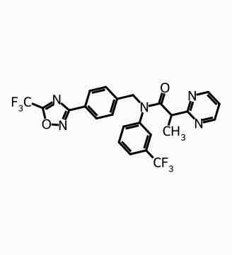 CC(C(=O)N(Cc1ccc(-c2noc(C(F)(F)F)n2)cc1)c1cccc(C(F)(F)F)c1)c1ncccn1